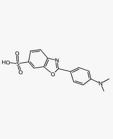 CN(C)c1ccc(-c2nc3ccc(S(=O)(=O)O)cc3o2)cc1